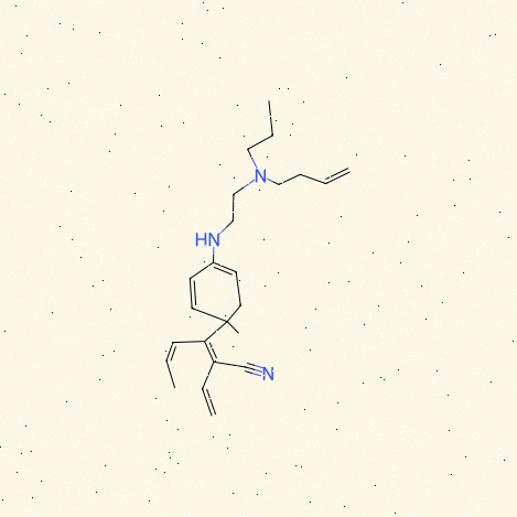 C=CCCN(CCC)CCNC1=CCC(C)(C(/C=C\C)=C(\C#N)C=C)C=C1